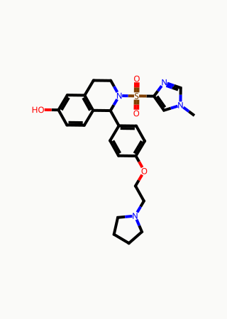 Cn1cnc(S(=O)(=O)N2CCc3cc(O)ccc3C2c2ccc(OCCN3CCCC3)cc2)c1